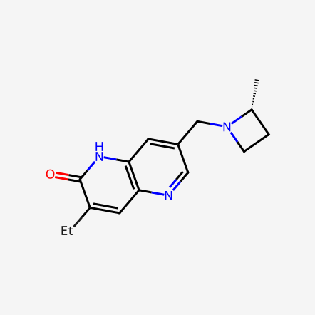 CCc1cc2ncc(CN3CC[C@H]3C)cc2[nH]c1=O